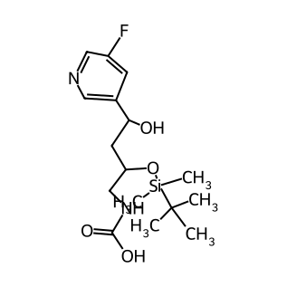 CC(C)(C)[Si](C)(C)OC(CNC(=O)O)CC(O)c1cncc(F)c1